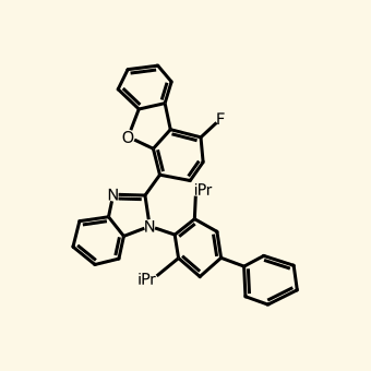 CC(C)c1cc(-c2ccccc2)cc(C(C)C)c1-n1c(-c2ccc(F)c3c2oc2ccccc23)nc2ccccc21